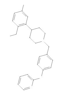 OCc1ccc(C(F)(F)F)cc1C1CCN(Cc2ccc(Oc3ccccn3)cc2)CC1